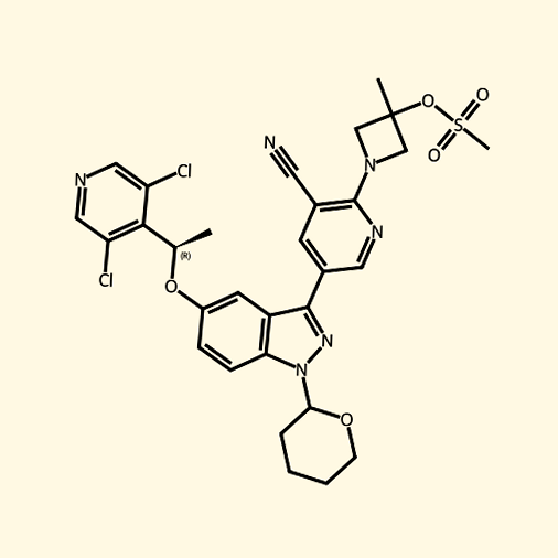 C[C@@H](Oc1ccc2c(c1)c(-c1cnc(N3CC(C)(OS(C)(=O)=O)C3)c(C#N)c1)nn2C1CCCCO1)c1c(Cl)cncc1Cl